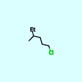 CCC(C)CCCCl